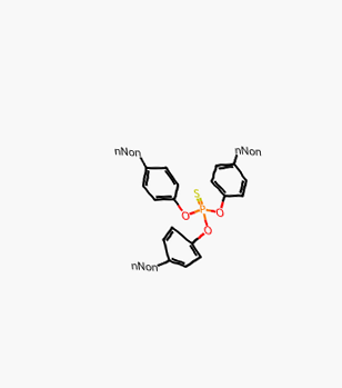 CCCCCCCCCc1ccc(OP(=S)(Oc2ccc(CCCCCCCCC)cc2)Oc2ccc(CCCCCCCCC)cc2)cc1